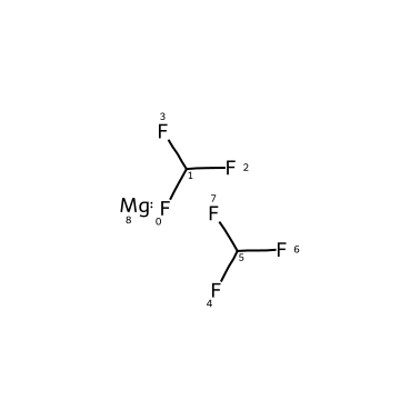 FC(F)F.FC(F)F.[Mg]